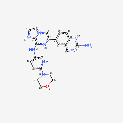 Nc1ncc2cc(-c3cn4ccnc4c(Nc4ccc(N5CCOCC5)nc4)n3)ccc2n1